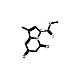 COC(=O)[C@@H]1C=C(C)C2=CC(=O)CC(=O)N21